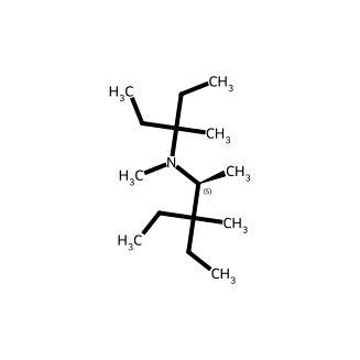 CCC(C)(CC)[C@H](C)N(C)C(C)(CC)CC